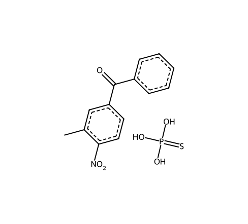 Cc1cc(C(=O)c2ccccc2)ccc1[N+](=O)[O-].OP(O)(O)=S